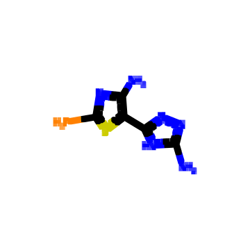 Nc1nnc(-c2sc(P)nc2N)[nH]1